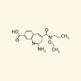 CCCN(OCC)C(=O)C1=Cc2ccc(C(=O)O)cc2N=C(N)C1